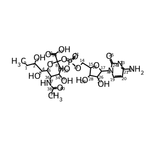 CC[C@@H](O)[C@@H](O)C1OC(OP(=O)(O)OCC2OC(n3ccc(N)nc3=O)C(O)C2O)(C(=O)O)CC(O)C1NC(C)=O